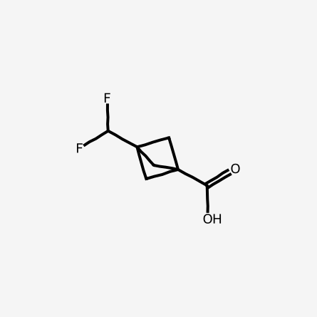 O=C(O)C12CC(C(F)F)(C1)C2